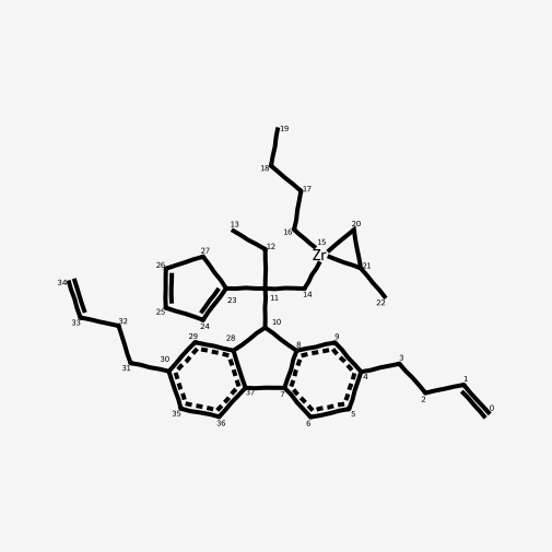 C=CCCc1ccc2c(c1)C(C(CC)([CH2][Zr]1([CH2]CCC)[CH2][CH]1C)C1=CC=CC1)c1cc(CCC=C)ccc1-2